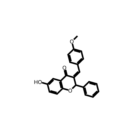 COc1ccc(C=C2C(=O)c3cc(O)ccc3OC2c2ccccc2)cc1